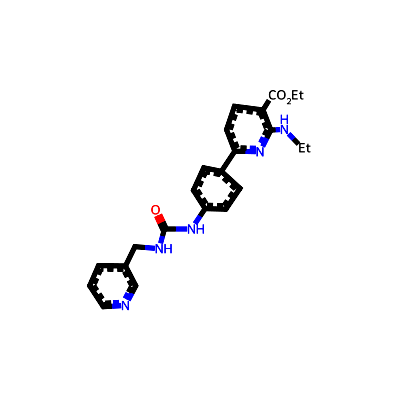 CCNc1nc(-c2ccc(NC(=O)NCc3cccnc3)cc2)ccc1C(=O)OCC